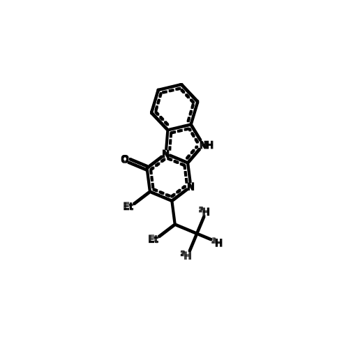 [2H]C([2H])([2H])C(CC)c1nc2[nH]c3ccccc3n2c(=O)c1CC